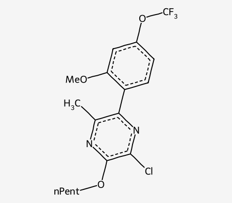 CCCCCOc1nc(C)c(-c2ccc(OC(F)(F)F)cc2OC)nc1Cl